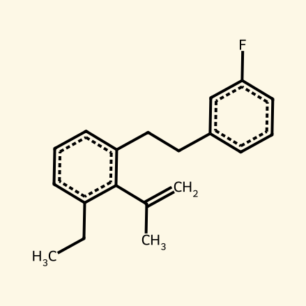 C=C(C)c1c(CC)cccc1CCc1cccc(F)c1